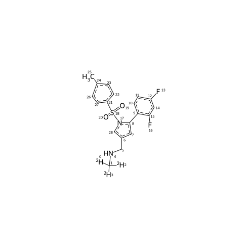 [2H]C([2H])([2H])NCc1cc(-c2ccc(F)cc2F)n(S(=O)(=O)c2ccc(C)cc2)c1